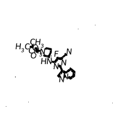 CC(C)(C)OC(=O)N1CCC[C@@H](Nc2nc(-c3cnn4ccccc34)nc(C#N)c2F)C1